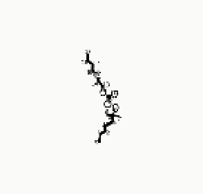 CCCCCC(C)(C)OOC(=O)OCCOCCCC